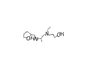 CCN(CCCO)CC(C)NCC1CCCO1